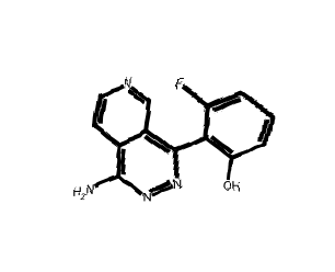 Nc1nnc(-c2c(O)cccc2F)c2cnccc12